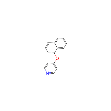 [c]1ccc(Oc2ccncc2)c2ccccc12